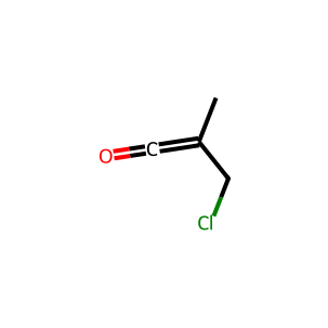 CC(=C=O)CCl